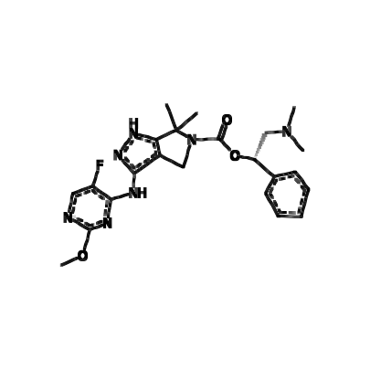 COc1ncc(F)c(Nc2n[nH]c3c2CN(C(=O)O[C@H](CN(C)C)c2ccccc2)C3(C)C)n1